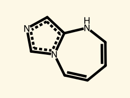 C1=CNc2cncn2C=C1